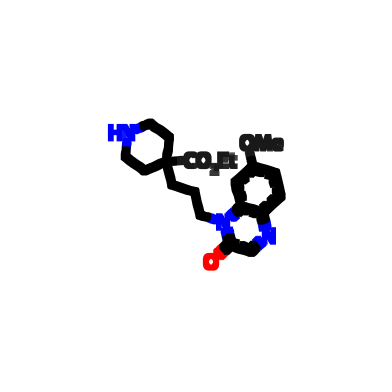 CCOC(=O)C1(CCCn2c(=O)cnc3ccc(OC)cc32)CCNCC1